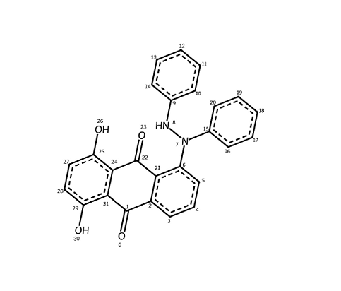 O=C1c2cccc(N(Nc3ccccc3)c3ccccc3)c2C(=O)c2c(O)ccc(O)c21